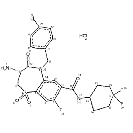 Cl.N[C@H]1CS(=O)(=O)c2cc(F)c(C(=O)NC3CCC(F)(F)CC3)cc2N(Cc2ccc(Cl)cc2)C1=O